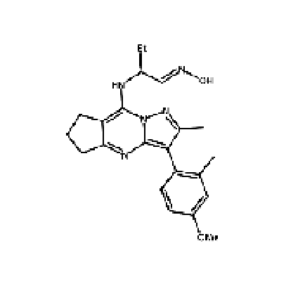 CC[C@@H](C=NO)Nc1c2c(nc3c(-c4ccc(OC)cc4C)c(C)nn13)CCC2